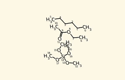 CCCCCC.CCOC(C)=O.CO[Si](OC)(OC)OC